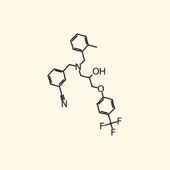 Cc1ccccc1CN(Cc1cccc(C#N)c1)CC(O)COc1ccc(C(F)(F)F)cc1